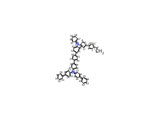 C=Cc1ccc(-c2ccc3c(c2)c2cc(-c4ccc(-c5ccc(N(c6ccc(-c7ccccc7)cc6)c6ccc(-c7ccccc7)cc6)cc5)cc4)ccc2n3-c2ccccc2)cc1